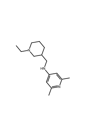 CCN1CCCC(CNc2cc(C)nc(C)c2)C1